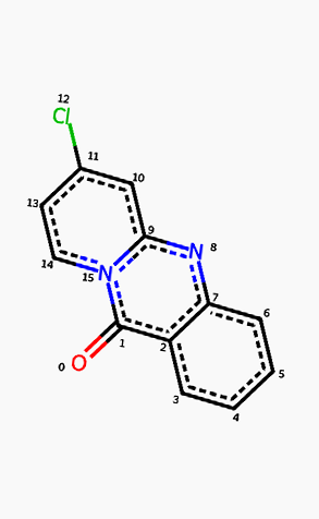 O=c1c2ccccc2nc2cc(Cl)ccn12